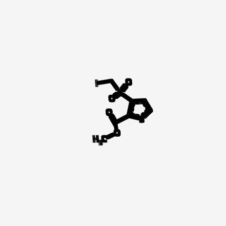 COC(=O)c1sccc1S(=O)(=O)CI